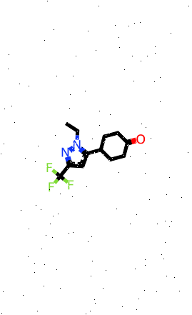 CCn1nc(C(F)(F)F)cc1C1CCC(=O)CC1